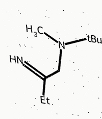 CCC(=N)CN(C)C(C)(C)C